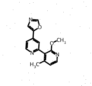 COc1nccc(C)c1-c1cc(-c2cnco2)ccn1